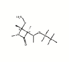 CC(O[Si](C)(C)C(C)(C)C)[C@@]1(C)C(=O)N(C)[C@]1(C)O[SiH3]